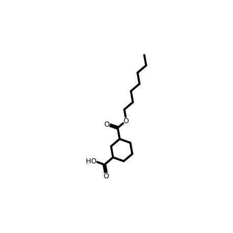 CCCCCCCOC(=O)C1CCCC(C(=O)O)C1